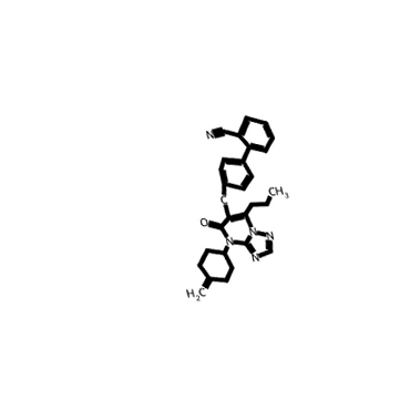 C=C1CCC(n2c(=O)c(Cc3ccc(-c4ccccc4C#N)cc3)c(CCC)n3ncnc23)CC1